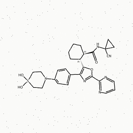 N#CC1(NC(=O)[C@@H]2CCCC[C@H]2c2oc(-c3ncccn3)nc2-c2ccc(N3CCS(O)(O)CC3)cc2)CC1